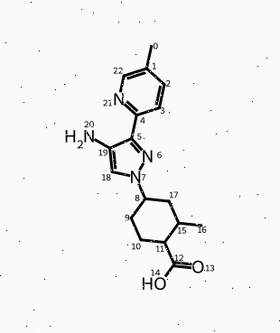 Cc1ccc(-c2nn(C3CCC(C(=O)O)C(C)C3)cc2N)nc1